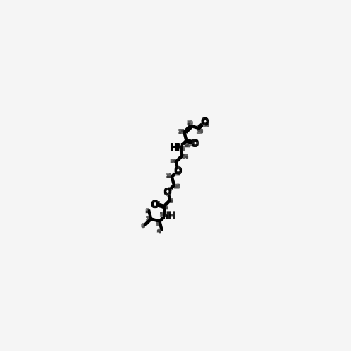 CC(C)C(C)NC(=O)COCCOCCNC(=O)/C=C\C=O